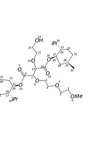 COCCOCCOC(C(=O)O[C@@H]1C[C@H](C)CC[C@H]1C(C)C)C(OCCO)C(=O)O[C@@H]1C[C@H](C)CC[C@H]1C(C)C